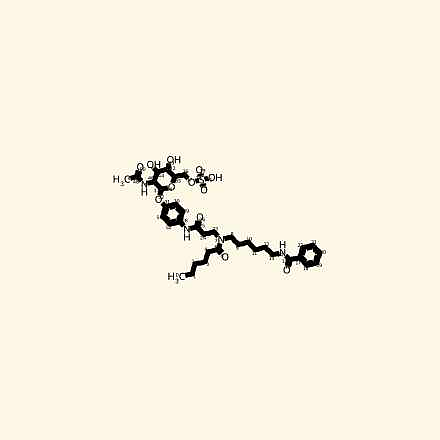 CCCCCC(=O)N(CCCCCCNC(=O)c1ccccc1)CCC(=O)Nc1ccc(OC2OC(COS(=O)(=O)O)C(O)C(O)C2NC(C)=O)cc1